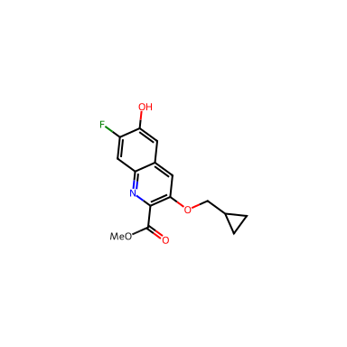 COC(=O)c1nc2cc(F)c(O)cc2cc1OCC1CC1